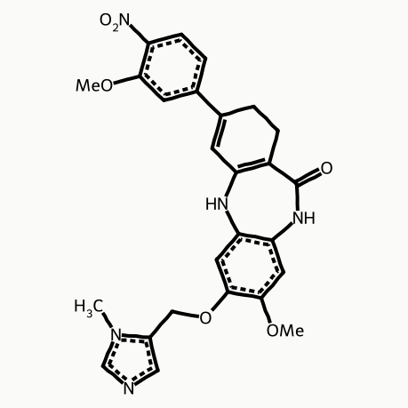 COc1cc2c(cc1OCc1cncn1C)NC1=C(CCC(c3ccc([N+](=O)[O-])c(OC)c3)=C1)C(=O)N2